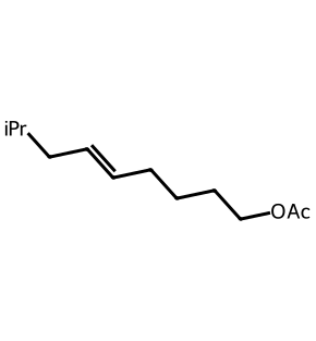 CC(=O)OCCCCC=CCC(C)C